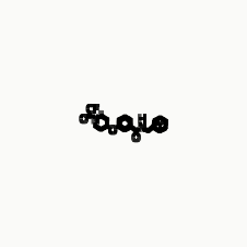 O=C(NCC1CC2CCC1CC2)c1cccc(OC2CCN(C(=O)C(F)(F)F)CC2)c1